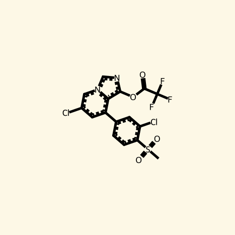 CS(=O)(=O)c1ccc(-c2cc(Cl)cn3cnc(OC(=O)C(F)(F)F)c23)cc1Cl